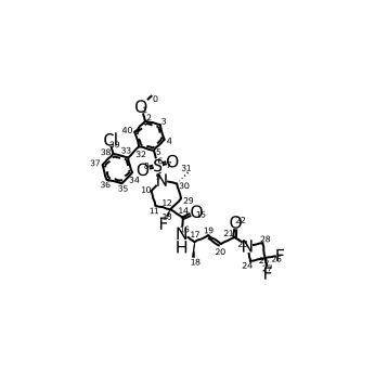 COc1ccc(S(=O)(=O)N2CC[C@@](F)(C(=O)N[C@H](C)/C=C/C(=O)N3CC(F)(F)C3)C[C@H]2C)c(-c2ccccc2Cl)c1